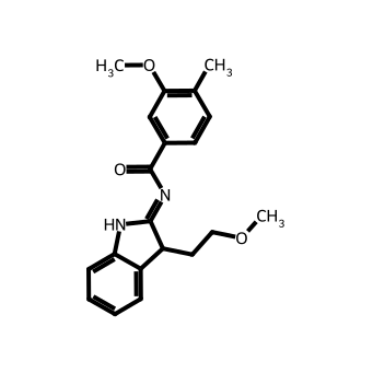 COCCC1C(=NC(=O)c2ccc(C)c(OC)c2)Nc2ccccc21